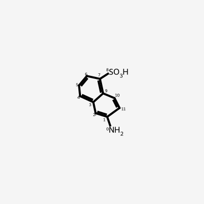 Nc1[c]c2cccc(S(=O)(=O)O)c2cc1